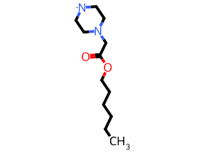 CCCCCCOC(=O)CN1CC[N]CC1